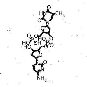 Cc1cn(C2CC(OP(=O)(O)OCC3OC(n4ccc(N)nc4=O)CC3O)C(COP(=O)(O)O)O2)c(=O)[nH]c1=O